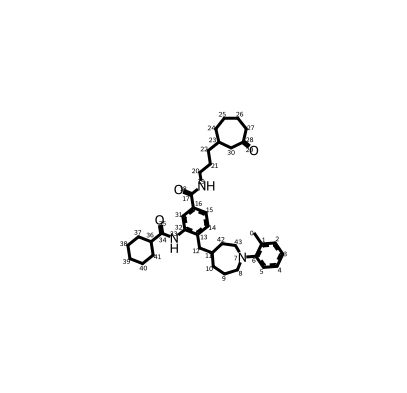 Cc1ccccc1N1CCCC(Cc2ccc(C(=O)NCCCC3CCCCC(=O)C3)cc2NC(=O)C2CCCCC2)CC1